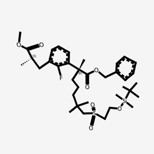 COC(=O)[C@@H](C)Cc1cccc([C@@](C)(CCCC(C)(C)CS(=O)(=O)CCO[Si](C)(C)C(C)(C)C)C(=O)OCc2ccccc2)c1F